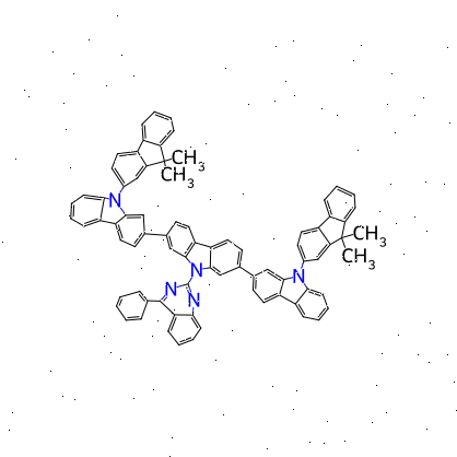 CC1(C)c2ccccc2-c2ccc(-n3c4ccccc4c4ccc(-c5ccc6c7ccc(-c8ccc9c%10ccccc%10n(-c%10ccc%11c(c%10)C(C)(C)c%10ccccc%10-%11)c9c8)cc7n(-c7nc(-c8ccccc8)c8ccccc8n7)c6c5)cc43)cc21